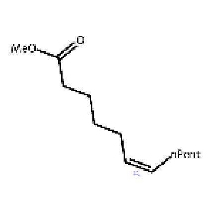 CCCCC/C=C\CCCCC(=O)OC